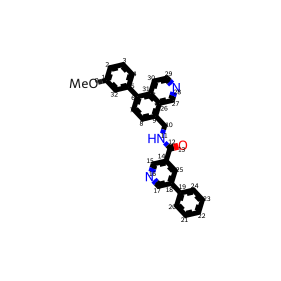 COc1cccc(-c2ccc(CNC(=O)c3cncc(-c4ccccc4)c3)c3cnccc23)c1